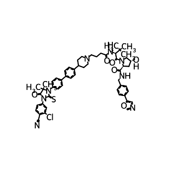 CC(C)(C)[C@H](NC(=O)CCCN1CCC(c2ccc(-c3ccc(N4C(=S)N(c5ccc(C#N)c(Cl)c5)C(=O)C4(C)C)cc3)cc2)CC1)C(=O)N1C[C@H](O)C[C@H]1C(=O)NCc1ccc(-c2cnco2)cc1